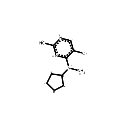 N#Cc1ncc(Cl)c(N(N)C2CCCC2)n1